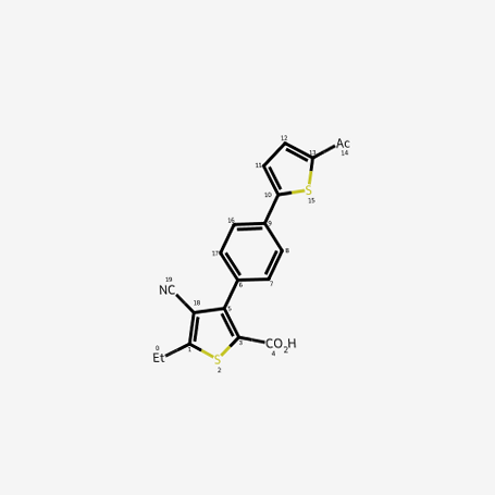 CCc1sc(C(=O)O)c(-c2ccc(-c3ccc(C(C)=O)s3)cc2)c1C#N